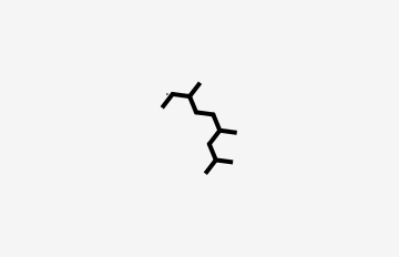 C[CH]C(C)CCC(C)CC(C)C